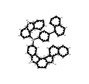 c1ccc2c(-c3ccc(N(c4ccc5oc6ccc7sc8c9ccccc9ccc8c7c6c5c4)c4cccc5oc6ccccc6c45)cc3)cccc2c1